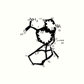 COC1(c2cccc(C(N)=O)c2)C2CCCC1CN([C@@H](C)c1cnc[nH]1)C2